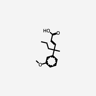 CCCC(C)(/C=C/C(=O)O)c1cccc(OC)c1